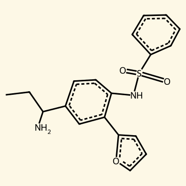 CCC(N)c1ccc(NS(=O)(=O)c2ccccc2)c(-c2ccco2)c1